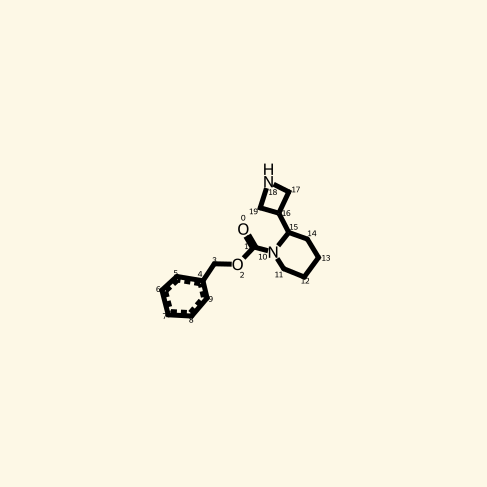 O=C(OCc1ccccc1)N1CCCCC1C1CNC1